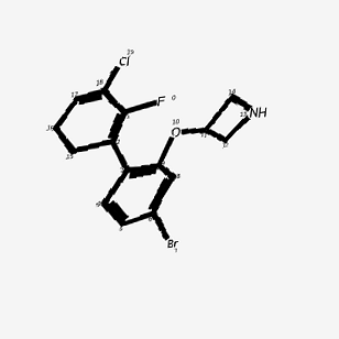 FC1=C(c2ccc(Br)cc2OC2CNC2)[CH]CC=C1Cl